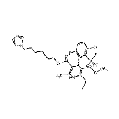 COC(=O)C1=C(CF)NC(C)=C(C(=O)OCCCCCCn2ccnc2)C1c1c(F)ccc(Cl)c1C(F)(F)F